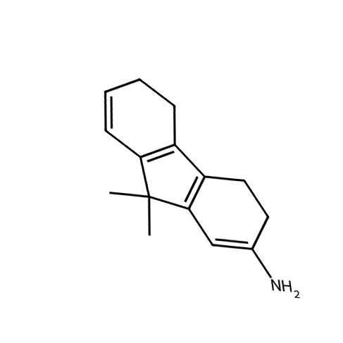 CC1(C)C2=C(CCC=C2)C2=C1C=C(N)CC2